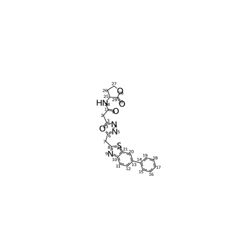 O=C(Cc1nnc(Cc2nc3ccc(-c4ccccc4)cc3s2)o1)NC1CCOC1=O